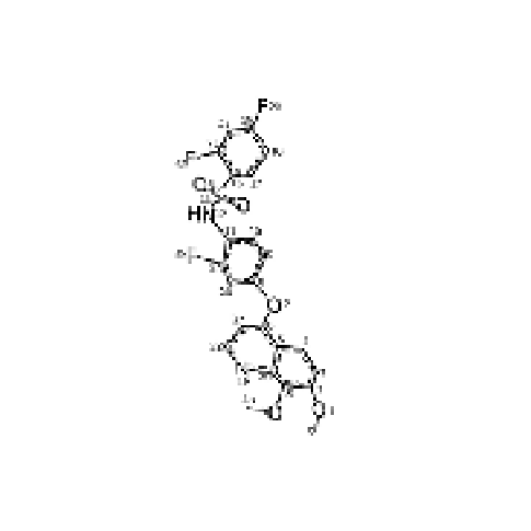 COc1ccc2c(Oc3ccc(NS(=O)(=O)c4ccc(F)cc4F)c(F)c3)ccnc2c1OC